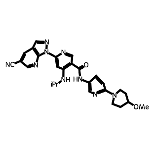 COC1CCN(c2ccc(NC(=O)c3cnc(-n4ncc5cc(C#N)cnc54)cc3NC(C)C)cn2)CC1